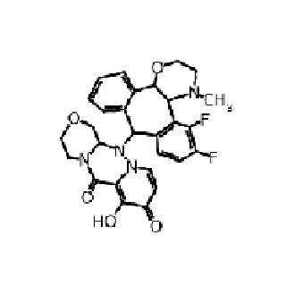 CN1CCOC2c3ccccc3C(N3C4COCCN4C(=O)c4c(O)c(=O)ccn43)c3ccc(F)c(F)c3C21